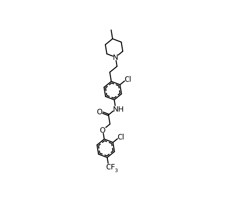 CC1CCN(CCc2ccc(NC(=O)COc3ccc(C(F)(F)F)cc3Cl)cc2Cl)CC1